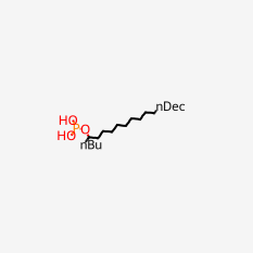 CCCCCCCCCCCCCCCCCCCC(CCCC)OP(O)O